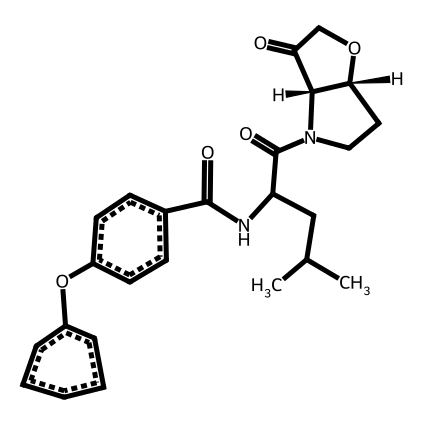 CC(C)CC(NC(=O)c1ccc(Oc2ccccc2)cc1)C(=O)N1CC[C@H]2OCC(=O)[C@H]21